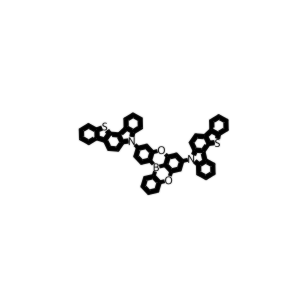 c1ccc2c(c1)Oc1cc(-n3c4ccccc4c4c5sc6ccccc6c5ccc43)cc3c1B2c1ccc(-n2c4ccccc4c4c5sc6ccccc6c5ccc42)cc1O3